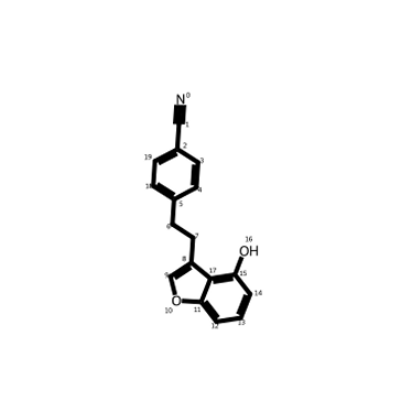 N#Cc1ccc(CCc2coc3cccc(O)c23)cc1